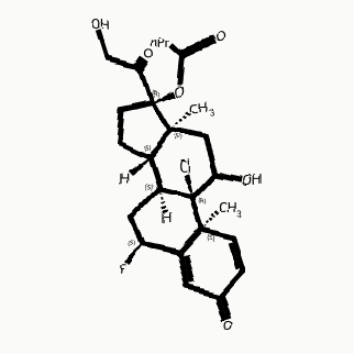 CCCC(=O)O[C@]1(C(=O)CO)CC[C@H]2[C@@H]3C[C@H](F)C4=CC(=O)C=C[C@]4(C)[C@@]3(Cl)C(O)C[C@@]21C